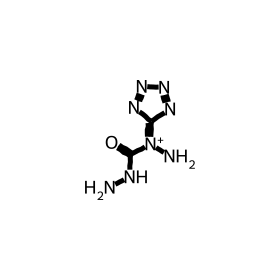 NNC(=O)[N+](N)=C1N=NN=N1